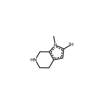 [2H]c1cc2c(n1C)CNCC2